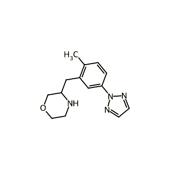 Cc1ccc(-n2nccn2)cc1CC1COCCN1